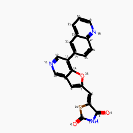 O=C1NC(=O)C(=Cc2cc3cncc(-c4ccc5ncccc5c4)c3o2)S1